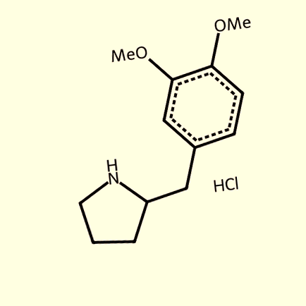 COc1ccc(CC2CCCN2)cc1OC.Cl